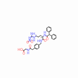 N/C(=N/[N+](=O)[O-])NCCC[C@@H](NC(=O)C(c1ccccc1)c1ccccc1)C(=O)NCc1ccc(CC(=O)NCC(=O)O)cc1